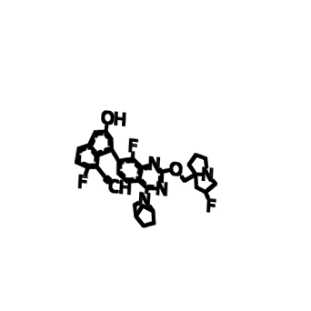 C#Cc1c(F)ccc2cc(O)cc(-c3ccc4c(N5CC6CCC5C6)nc(OCC56CCCN5CC(F)C6)nc4c3F)c12